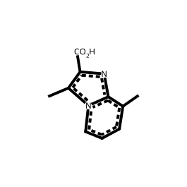 Cc1cccn2c(C)c(C(=O)O)nc12